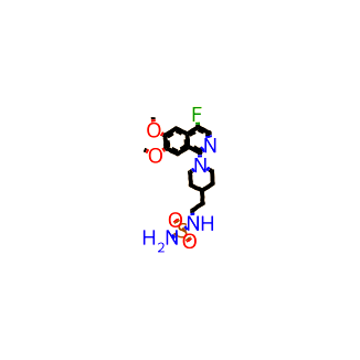 COc1cc2c(F)cnc(N3CCC(CCNS(N)(=O)=O)CC3)c2cc1OC